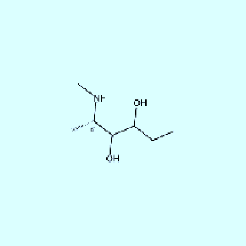 CCC(O)C(O)[C@H](C)NC